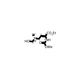 CCOC(=O)C(=CC[PH](=O)CO)NC(=O)OC